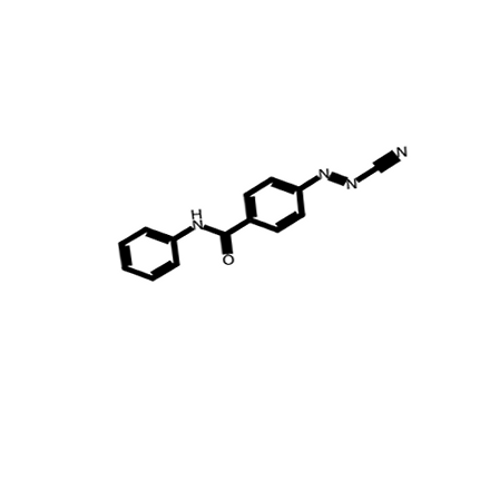 N#CN=Nc1ccc(C(=O)Nc2ccccc2)cc1